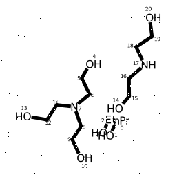 CCCO.CCO.OCCN(CCO)CCO.OCCNCCO